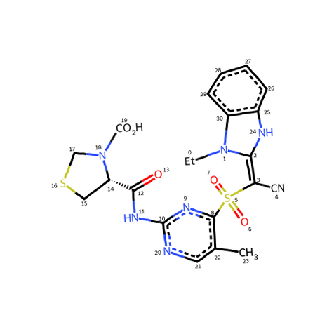 CCN1/C(=C(/C#N)S(=O)(=O)c2nc(NC(=O)[C@@H]3CSCN3C(=O)O)ncc2C)Nc2ccccc21